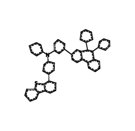 c1ccc(-c2c(-c3ccccc3)c3cc(-c4cccc(N(c5ccccc5)c5ccc(-c6cccc7c6sc6ccccc67)cc5)c4)ccc3c3ccccc23)cc1